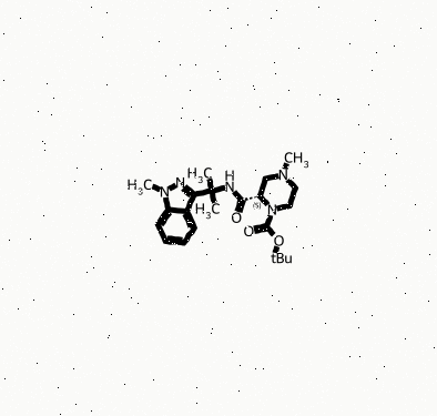 CN1CCN(C(=O)OC(C)(C)C)[C@H](C(=O)NC(C)(C)c2nn(C)c3ccccc23)C1